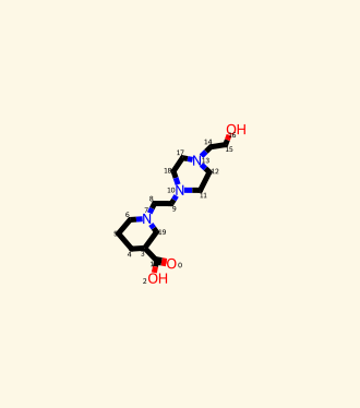 O=C(O)C1CCCN(CCN2CCN(CCO)CC2)C1